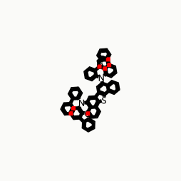 c1ccc(-c2ccccc2N(c2cc3c4cc(N(c5ccccc5-c5ccccc5)c5cccc6c5oc5ccccc56)c5ccccc5c4sc3c3ccccc23)c2cccc3c2oc2ccccc23)cc1